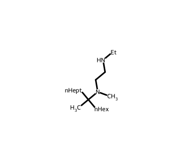 CCCCCCCC(C)(CCCCCC)N(C)CCNCC